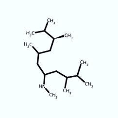 CNC(CC(C)C[C@H](C)C(C)C)CC(C)C(C)C